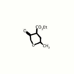 CCOC(=O)C1CC(C)OCC1=O